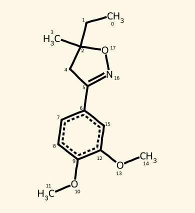 CCC1(C)CC(c2ccc(OC)c(OC)c2)=NO1